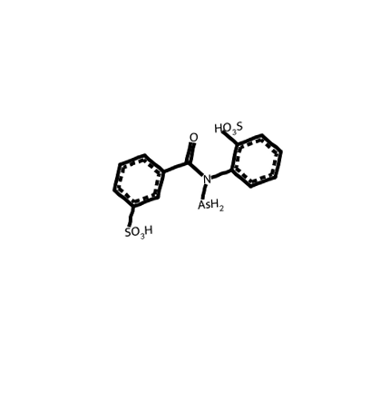 O=C(c1cccc(S(=O)(=O)O)c1)N([AsH2])c1ccccc1S(=O)(=O)O